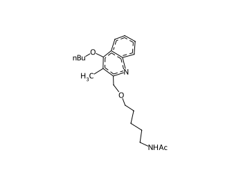 CCCCOc1c(C)c(COCCCCCNC(C)=O)nc2ccccc12